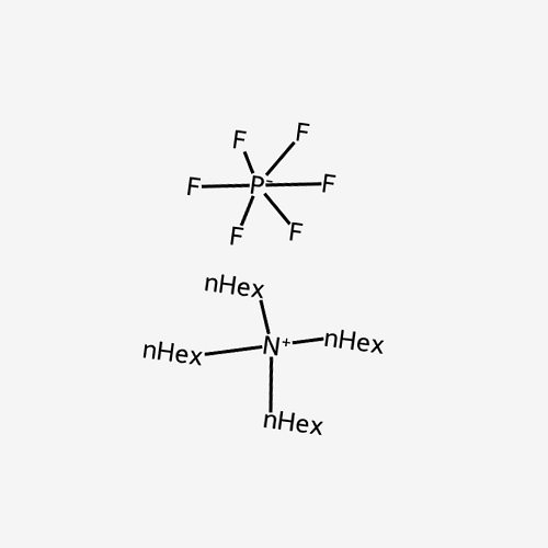 CCCCCC[N+](CCCCCC)(CCCCCC)CCCCCC.F[P-](F)(F)(F)(F)F